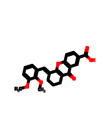 COc1cccc(/C=C2\CCCc3c2oc2ccc(C(=O)O)cc2c3=O)c1OC